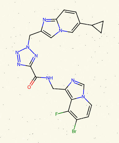 O=C(NCc1ncn2ccc(Br)c(F)c12)c1nnn(Cc2cn3cc(C4CC4)ccc3n2)n1